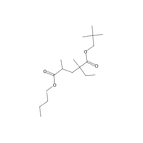 CCCCOC(=O)C(C)CC(C)(CC)C(=O)OCC(C)(C)C